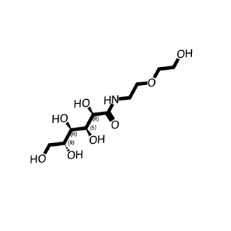 O=C(NCCOCCO)[C@H](O)[C@@H](O)[C@H](O)[C@H](O)CO